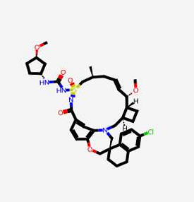 CO[C@@H]1CC[C@@H](NC(=O)NS2(=O)=NC(=O)c3ccc4c(c3)N(C[C@@H]3CC[C@H]3[C@@H](OC)/C=C/C[C@H](C)C2)C[C@@]2(CCCc3cc(Cl)ccc32)CO4)C1